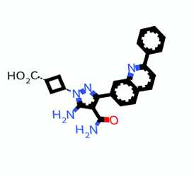 NC(=O)c1c(-c2ccc3ccc(-c4ccccc4)nc3c2)nn([C@H]2C[C@@H](C(=O)O)C2)c1N